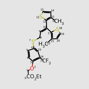 CCOC(=O)COc1ccc(SCC=C(c2sccc2C)c2sccc2C)cc1C(F)(F)F